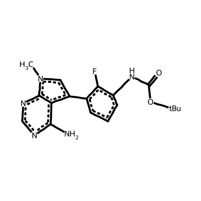 Cn1cc(-c2cccc(NC(=O)OC(C)(C)C)c2F)c2c(N)ncnc21